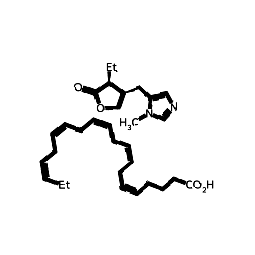 CC/C=C\C/C=C\C/C=C\C/C=C\C/C=C\CCCC(=O)O.CC[C@@H]1C(=O)OC[C@@H]1Cc1cncn1C